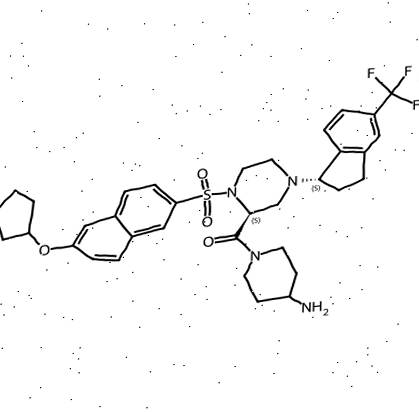 NC1CCN(C(=O)[C@@H]2CN([C@H]3CCc4cc(C(F)(F)F)ccc43)CCN2S(=O)(=O)c2ccc3cc(OC4CCCC4)ccc3c2)CC1